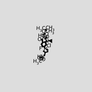 CC(C)(C)OC(=O)Nn1c(=O)c2cc(F)c(N3CCC(CNS(C)(=O)=O)C3)c(Cl)c2n(C2CC2)c1=O